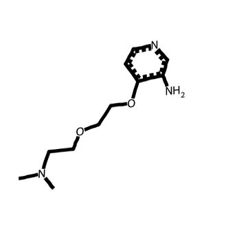 CN(C)CCOCCOc1ccncc1N